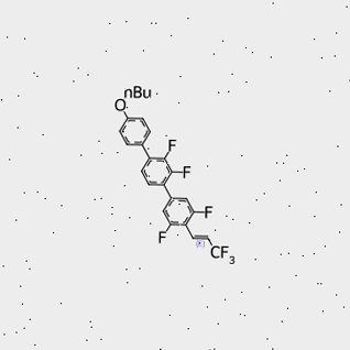 CCCCOc1ccc(-c2ccc(-c3cc(F)c(/C=C/C(F)(F)F)c(F)c3)c(F)c2F)cc1